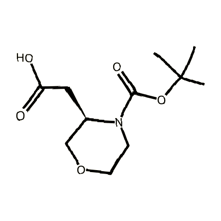 CC(C)(C)OC(=O)N1CCOC[C@H]1CC(=O)O